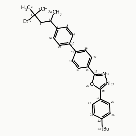 CCC(C)(C)CC(C)c1ccc(-c2ccc(-c3nnc(-c4ccc(C(C)(C)C)cc4)o3)cc2)cc1